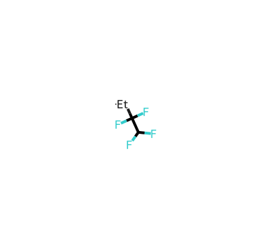 C[CH]C(F)(F)C(F)F